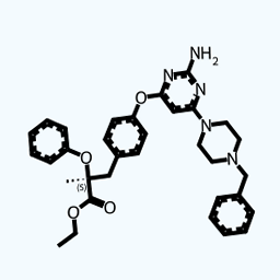 CCOC(=O)[C@](C)(Cc1ccc(Oc2cc(N3CCN(Cc4ccccc4)CC3)nc(N)n2)cc1)Oc1ccccc1